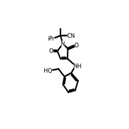 CC(C)C(C)(C#N)N1C(=O)C=C(Nc2ccccc2CO)C1=O